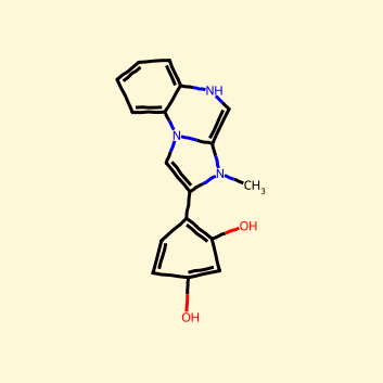 CN1C(c2ccc(O)cc2O)=CN2C1=CNc1ccccc12